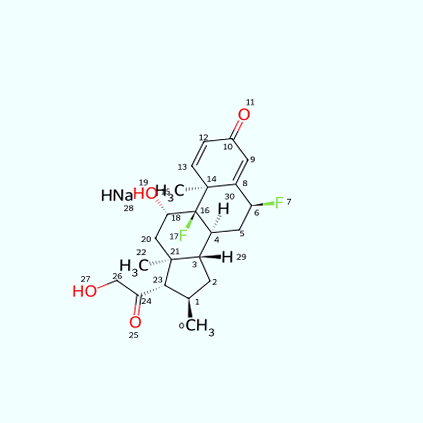 C[C@@H]1C[C@H]2[C@@H]3C[C@H](F)C4=CC(=O)C=C[C@]4(C)[C@@]3(F)[C@@H](O)C[C@]2(C)[C@H]1C(=O)CO.[NaH]